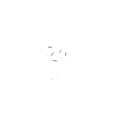 CC(C)CCSc1cc(O)c(C(=O)NCC(=O)O)c2ncnn12